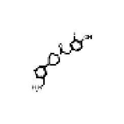 NCc1cccc(C2CCN(C(=O)Cc3ccc(O)c(F)c3)CC2)c1